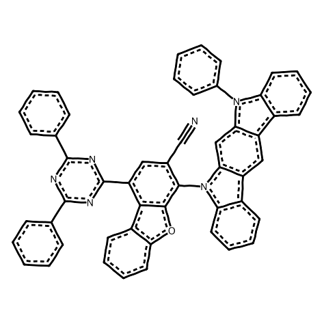 N#Cc1cc(-c2nc(-c3ccccc3)nc(-c3ccccc3)n2)c2c(oc3ccccc32)c1-n1c2ccccc2c2cc3c4ccccc4n(-c4ccccc4)c3cc21